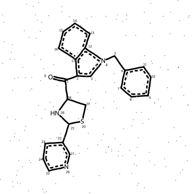 O=C(c1cn(Cc2ccccc2)c2ccccc12)C1CSC(c2cccnc2)N1